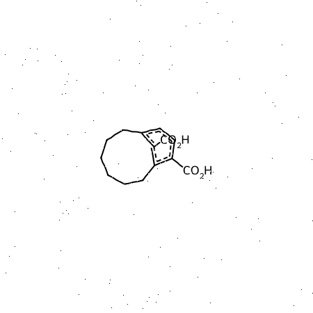 O=C(O)c1ccc2c(C(=O)O)c1CCCCCC2